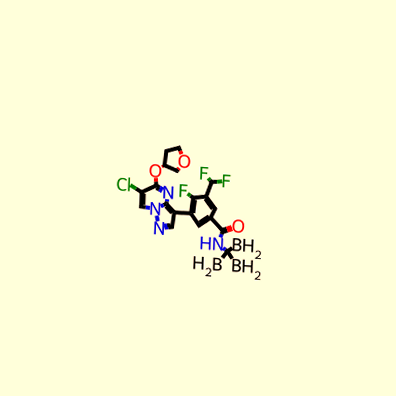 BC(B)(B)NC(=O)c1cc(-c2cnn3cc(Cl)c(O[C@H]4CCOC4)nc23)c(F)c(C(F)F)c1